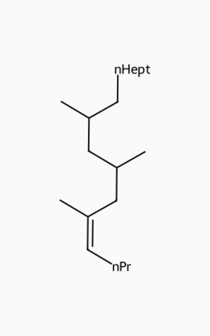 CCCC=C(C)CC(C)CC(C)CCCCCCCC